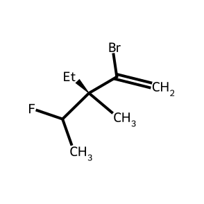 C=C(Br)[C@@](C)(CC)C(C)F